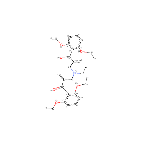 C=C(CN(CC)CC(=C)C(=O)c1c(OCC)cccc1OCC)C(=O)c1c(OCC)cccc1OCC